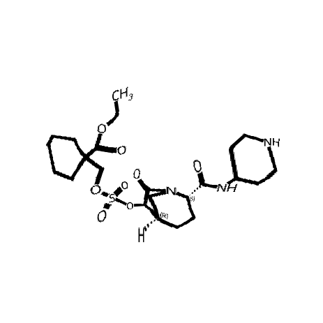 CCOC(=O)C1(COS(=O)(=O)OC2C(=O)N3C[C@H]2CC[C@H]3C(=O)NC2CCNCC2)CCCCC1